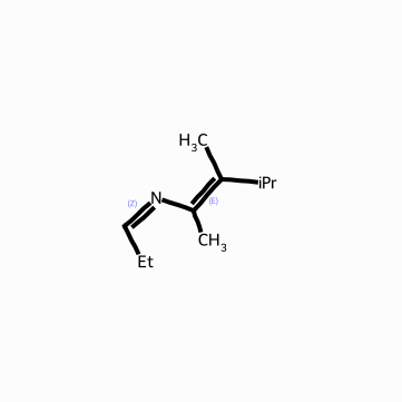 CC/C=N\C(C)=C(/C)C(C)C